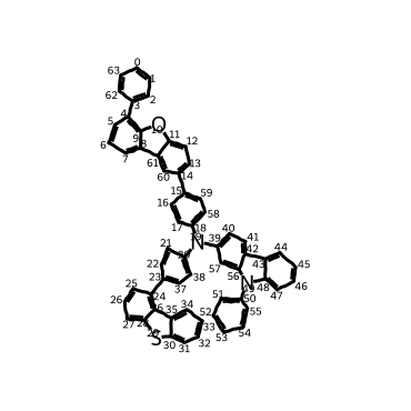 c1ccc(-c2cccc3c2oc2ccc(-c4ccc(N(c5ccc(-c6cccc7sc8ccccc8c67)cc5)c5ccc6c7ccccc7n(-c7ccccc7)c6c5)cc4)cc23)cc1